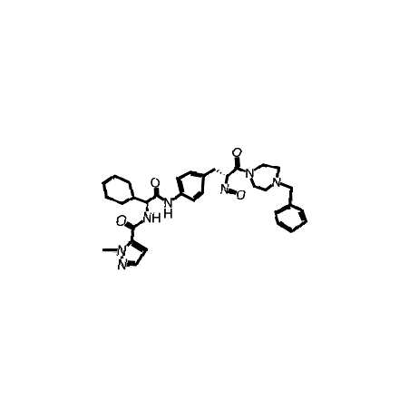 Cn1nccc1C(=O)N[C@H](C(=O)Nc1ccc(C[C@@H](N=O)C(=O)N2CCN(Cc3ccccc3)CC2)cc1)C1CCCCC1